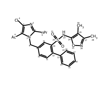 CCCc1nc(Cl)c(C(C)=O)n1Cc1ccc(-c2ccccc2)c(S(=O)(=O)Nc2onc(C)c2C)c1